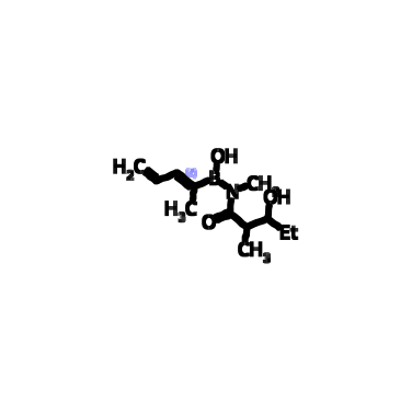 C=C/C=C(\C)B(O)N(C)C(=O)C(C)C(O)CC